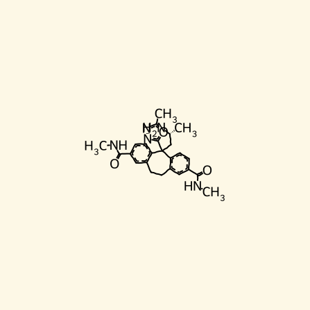 CNC(=O)c1ccc2c(c1)CCc1cc(C(=O)NC)ccc1C2(C[C@@H](C)N)c1nnc(C)o1